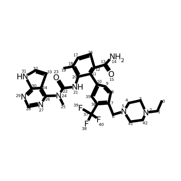 CCN1CCN(Cc2ccc(-c3c(C(N)=O)ccc(C)c3NC(=O)N(C)c3ncnc4[nH]ccc34)cc2C(F)(F)F)CC1